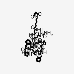 CC[C@H](C)[C@@H]([C@@H](CC(=O)N1CCC[C@H]1[C@H](OC)[C@@H](C)C(=O)N[C@@H](Cc1ccccc1)c1ncccn1)OC)N(C)C(=O)[C@@H](NC(=O)[C@@H]1[C@H]2CC[C@H](C2)N1C(=O)OCc1ccc(NC(=O)[C@H](CCCNC(N)=O)NC(=O)CNC(=O)CCCCCN2C(=O)C=CC2=O)cc1)C(C)C